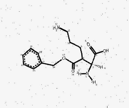 [2H]N([2H])[C@]([2H])(C(=O)O)C(CCCN)C(=O)OCc1ccccc1